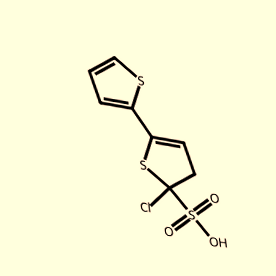 O=S(=O)(O)C1(Cl)CC=C(c2cccs2)S1